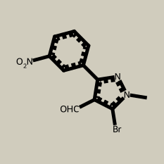 Cn1nc(-c2cccc([N+](=O)[O-])c2)c(C=O)c1Br